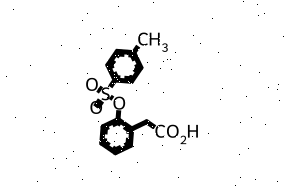 Cc1ccc(S(=O)(=O)Oc2ccccc2CC(=O)O)cc1